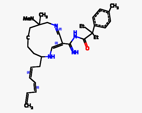 C=C/C=C\C=C/CC1CCCCC(C)(NC)C/N=C\C(C(=N)NC(=O)C(CC)(CC)c2ccc(C)cc2)=C\N1